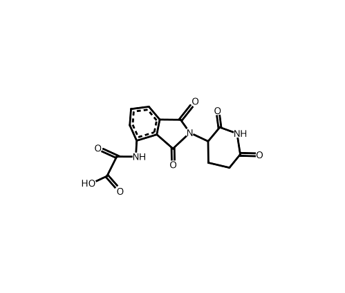 O=C1CCC(N2C(=O)c3cccc(NC(=O)C(=O)O)c3C2=O)C(=O)N1